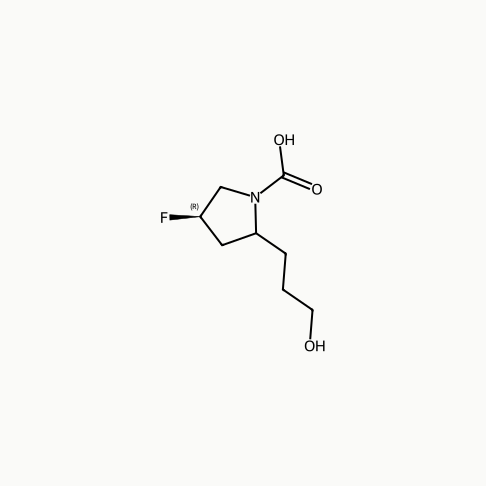 O=C(O)N1C[C@H](F)CC1CCCO